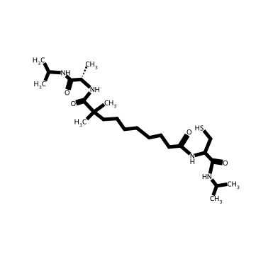 CC(C)NC(=O)C(CS)NC(=O)CCCCCCCC(C)(C)C(=O)N[C@@H](C)C(=O)NC(C)C